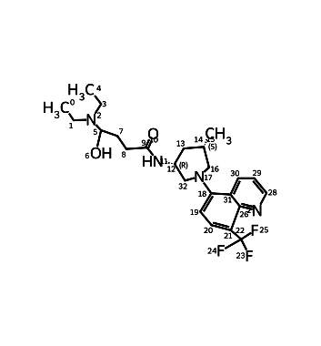 CCN(CC)C(O)CCC(=O)N[C@@H]1C[C@H](C)CN(c2ccc(C(F)(F)F)c3ncccc23)C1